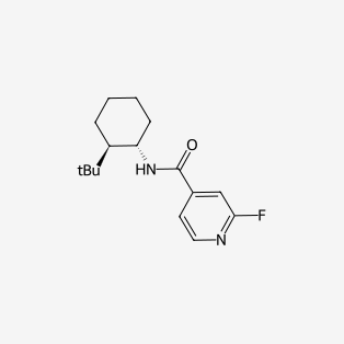 CC(C)(C)[C@H]1CCCC[C@@H]1NC(=O)c1ccnc(F)c1